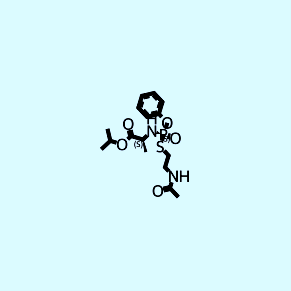 CC(=O)NCCS[P@](=O)(N[C@@H](C)C(=O)OC(C)C)Oc1ccccc1